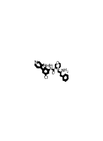 N[C@H](Cc1ccccc1)CN1CCOC[C@H]1C(=O)Nc1cc(Cl)cc2c1[nH]c1cnccc12